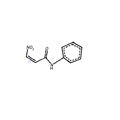 O=C(/C=C\[N+](=O)[O-])Nc1ccccc1